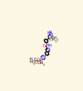 CC(Cc1nncn1C)c1cccc(NC(=O)c2cc3cc(N4CCN(C(=O)OC(C)(C)C)CC4)ccc3cn2)c1